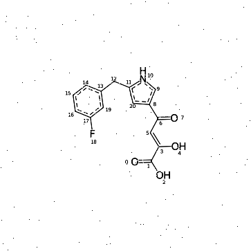 O=C(O)/C(O)=C/C(=O)c1c[nH]c(Cc2cccc(F)c2)c1